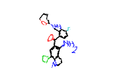 Nc1c(C(=O)c2ccc(F)c3nn(C4CCCCO4)cc23)cc(Cl)c2ncccc12